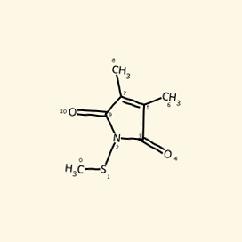 CSN1C(=O)C(C)=C(C)C1=O